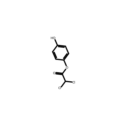 O=C(Oc1ccc(O)cc1)C(Cl)Cl